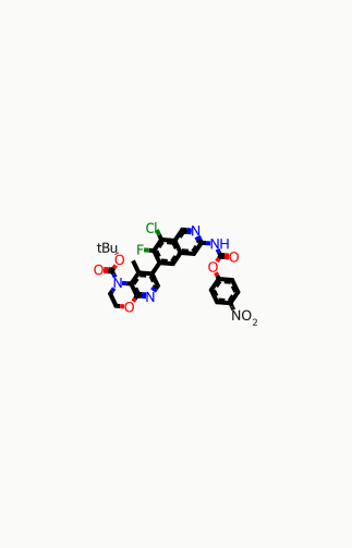 Cc1c(-c2cc3cc(NC(=O)Oc4ccc([N+](=O)[O-])cc4)ncc3c(Cl)c2F)cnc2c1N(C(=O)OC(C)(C)C)CCO2